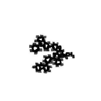 C\C=C/C=c1/oc2ccc(-c3ccc4c(c3)c3ccccc3n4-c3ccccc3)cc2/c1=C1\N=C(c2cccc(-c3cccc4c3sc3ccccc34)c2)c2ccccc2N1C